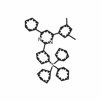 Cc1cc(C)cc(-c2cc(-c3ccccc3)nc(-c3cccc(S(c4ccccc4)(c4ccccc4)c4ccccc4)c3)n2)c1